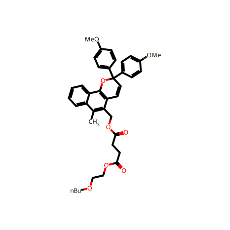 CCCCOCCOC(=O)CCC(=O)OCc1c2c(c3ccccc3c1C)OC(c1ccc(OC)cc1)(c1ccc(OC)cc1)C=C2